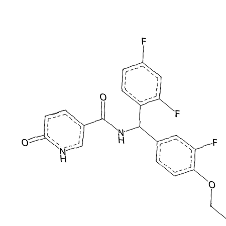 O=C(NC(c1ccc(OCF)c(F)c1)c1ccc(F)cc1F)c1ccc(=O)[nH]c1